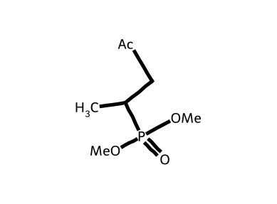 COP(=O)(OC)C(C)CC(C)=O